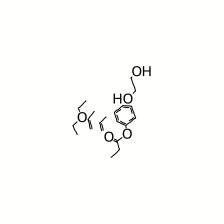 C=CC.C=CC.CCC(=O)Oc1ccccc1.CCOCC.OCCO